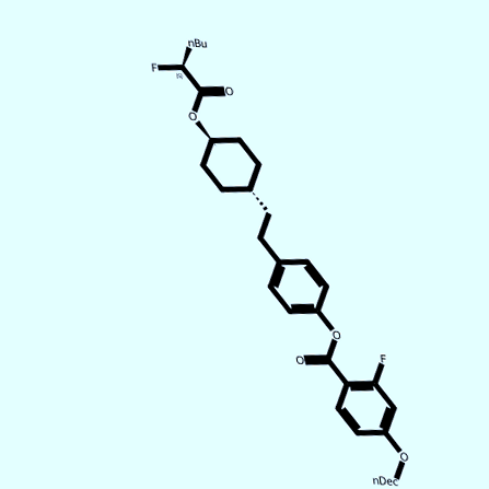 CCCCCCCCCCOc1ccc(C(=O)Oc2ccc(CC[C@H]3CC[C@H](OC(=O)[C@@H](F)CCCC)CC3)cc2)c(F)c1